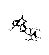 CC(C)[Si](Oc1cc2[nH]c(=O)c3ncn(C)c3n2n1)(C(C)C)C(C)C